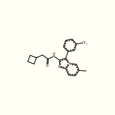 O=C(CC1CCC1)Nc1nc2ccc(F)cn2c1-c1cccc(C(F)(F)F)c1